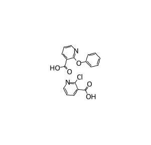 O=C(O)c1cccnc1Cl.O=C(O)c1cccnc1Oc1ccccc1